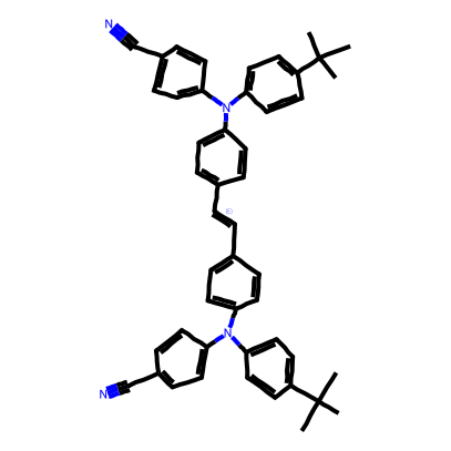 CC(C)(C)c1ccc(N(c2ccc(C#N)cc2)c2ccc(/C=C/c3ccc(N(c4ccc(C#N)cc4)c4ccc(C(C)(C)C)cc4)cc3)cc2)cc1